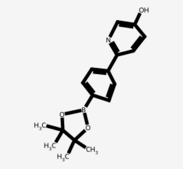 CC1(C)OB(c2ccc(-c3ccc(O)cn3)cc2)OC1(C)C